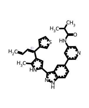 C=C/C=C(/c1ccsc1)c1cc(-c2n[nH]c3ccc(-c4cncc(NC(=O)C(C)C)c4)cc23)[nH]c1C